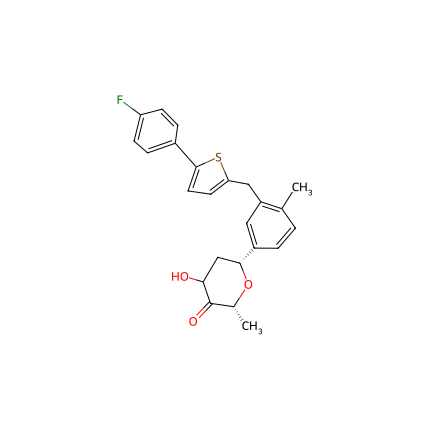 Cc1ccc([C@H]2CC(O)C(=O)[C@@H](C)O2)cc1Cc1ccc(-c2ccc(F)cc2)s1